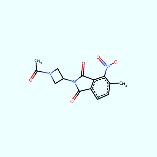 CC(=O)N1CC(N2C(=O)c3ccc(C)c([N+](=O)[O-])c3C2=O)C1